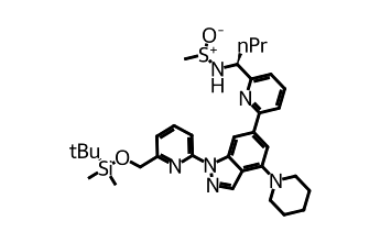 CCC[C@H](N[S+](C)[O-])c1cccc(-c2cc(N3CCCCC3)c3cnn(-c4cccc(CO[Si](C)(C)C(C)(C)C)n4)c3c2)n1